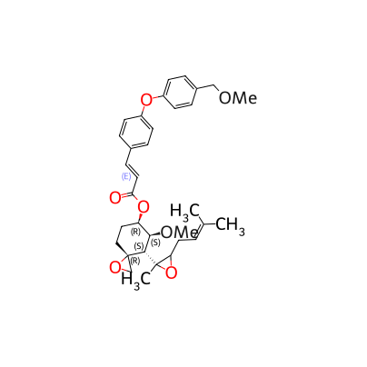 COCc1ccc(Oc2ccc(/C=C/C(=O)O[C@@H]3CC[C@]4(CO4)[C@@H](C4(C)OC4CC=C(C)C)[C@@H]3OC)cc2)cc1